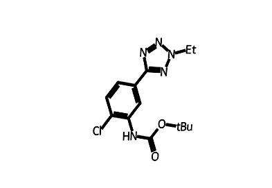 CCn1nnc(-c2ccc(Cl)c(NC(=O)OC(C)(C)C)c2)n1